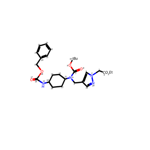 CCOC(=O)Cn1cc(CN(C(=O)OC(C)(C)C)C2CCC(NC(=O)OCc3ccccc3)CC2)cn1